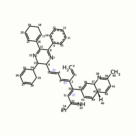 C=CC(=C\C=C\C1N=C(c2ccccc2)C(C2=CCCC=C2)=NC1C1C=CC=CC1)/C(=C/C(=N)C(C)C)C1=CC2N=C(C)C=C[C@@H]2C=C1